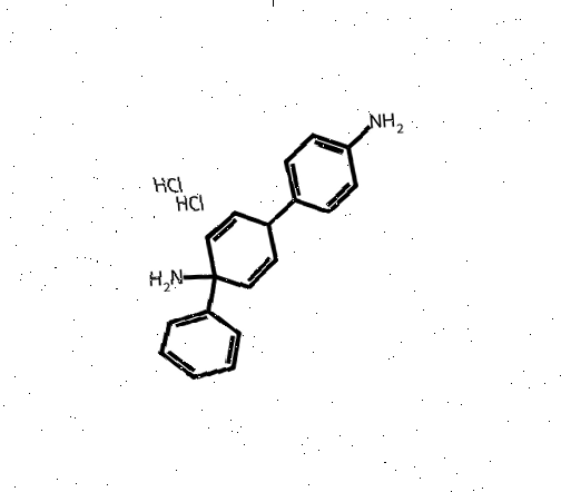 Cl.Cl.Nc1ccc(C2C=CC(N)(c3ccccc3)C=C2)cc1